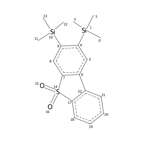 C[Si](C)(C)c1cc2c(cc1[Si](C)(C)C)S(=O)(=O)c1ccccc1-2